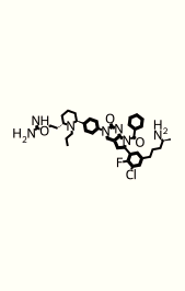 CCCN1[C@H](CCOC(=N)N)CCC[C@H]1c1ccc(-n2cc3cc(-c4cc(CCC[C@H](C)N)cc(Cl)c4F)n(C(=O)c4ccccc4)c3nc2=O)cc1